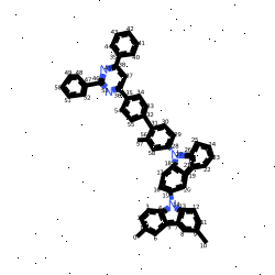 Cc1ccc2c(c1)c1cc(C)ccc1n2-c1ccc2c(c1)c1ccccc1n2-c1ccc(-c2ccc(-c3cc(-c4ccccc4)nc(-c4ccccc4)n3)cc2)c(C)c1